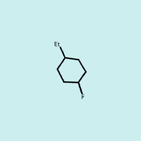 [CH2]CC1CCC(F)CC1